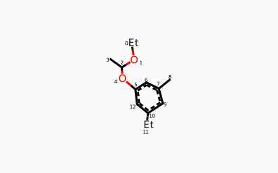 CCOC(C)Oc1cc(C)cc(CC)c1